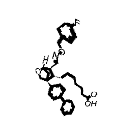 O=C(O)CCC/C=C\C[C@H]1[C@H](C=NOCc2ccc(F)cc2)[C@@H]2C[C@@]1(c1ccc(-c3ccccc3)cc1)CO2